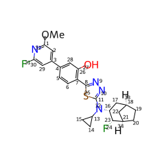 COc1cc(-c2ccc(-c3nnc(N(C4CC4)[C@@H]4C[C@H]5CC[C@H](C5)[C@@H]4F)s3)c(O)c2)cc(F)n1